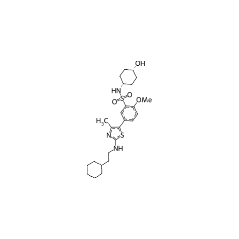 COc1ccc(-c2sc(NCCC3CCCCC3)nc2C)cc1S(=O)(=O)N[C@H]1CC[C@@H](O)CC1